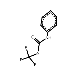 O=C([N]C(F)(F)F)Nc1ccccc1